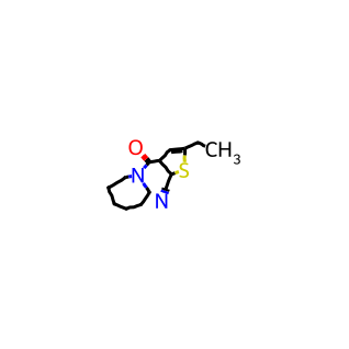 CCC1=CC(C(=O)N2CCCCCC2)C(C#N)S1